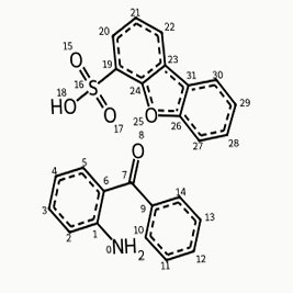 Nc1ccccc1C(=O)c1ccccc1.O=S(=O)(O)c1cccc2c1oc1ccccc12